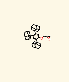 c1c(OCC2CO2)c(C23CC4CC(CC(C4)C2)C3)cc(C23CC4CC(CC(C4)C2)C3)c1C12CC3CC(CC(C3)C1)C2